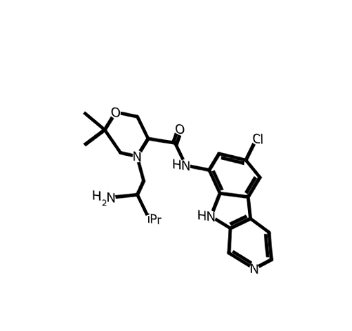 CC(C)C(N)CN1CC(C)(C)OCC1C(=O)Nc1cc(Cl)cc2c1[nH]c1cnccc12